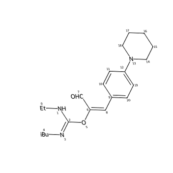 CCN/C(=N\C(C)CC)O/C(C=O)=C/c1ccc(N2CCCCC2)cc1